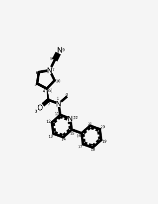 CN(C(=O)[C@H]1CCN(C#N)C1)c1cccc(-c2ccccc2)n1